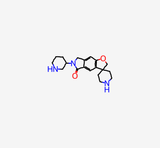 O=C1c2cc3c(cc2CN1C1CCCNC1)OCC31CCNCC1